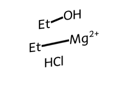 CCO.C[CH2][Mg+2].Cl